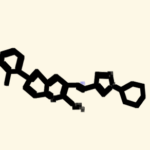 Cc1ccccc1-c1ccc2nc(N)c(/C=C/c3cnn(C4CCCCC4)c3)cc2c1